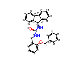 O=C(NCc1ccccc1OCc1ccccc1)NC1c2ccccc2-c2ccccc21